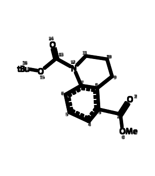 COC(=O)c1cccc2c1CCCN2C(=O)OC(C)(C)C